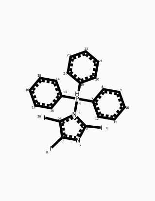 Ic1nc(I)n([PH](c2ccccc2)(c2ccccc2)c2ccccc2)c1I